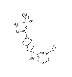 CC(C)(C)OC(=O)N1CC2(C1)CC(O)(c1cccc(C3CC3)c1)C2